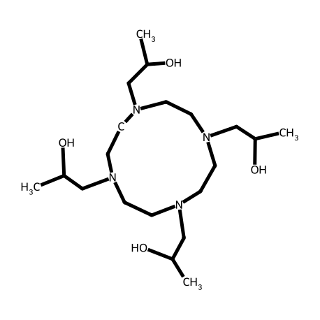 CC(O)CN1CCN(CC(C)O)CCN(CC(C)O)CCN(CC(C)O)CC1